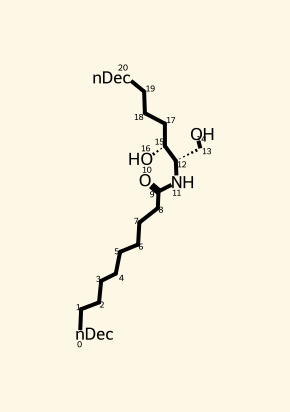 CCCCCCCCCCCCCCCCCCC(=O)N[C@@H](CO)[C@H](O)CCCCCCCCCCCCC